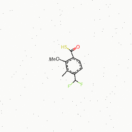 COc1c(C(=O)S)ccc(C(F)F)c1C